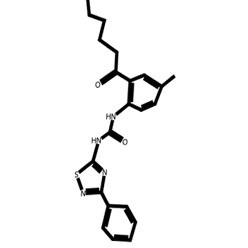 CCCCCC(=O)c1cc(C)ccc1NC(=O)Nc1nc(-c2ccccc2)ns1